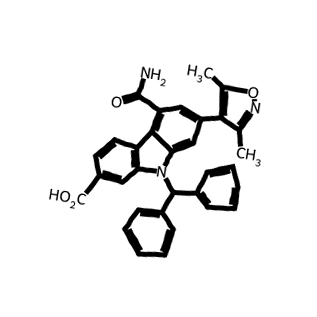 Cc1noc(C)c1-c1cc(C(N)=O)c2c3ccc(C(=O)O)cc3n(C(c3ccccc3)c3ccccc3)c2c1